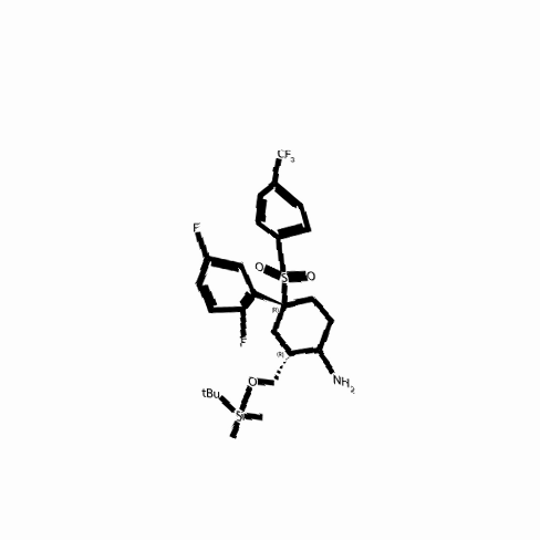 CC(C)(C)[Si](C)(C)OC[C@@H]1C[C@](c2cc(F)ccc2F)(S(=O)(=O)c2ccc(C(F)(F)F)cc2)CCC1N